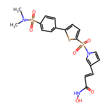 CN(C)S(=O)(=O)c1ccc(-c2ccc(S(=O)(=O)n3ccc(C=CC(=O)NO)c3)s2)cc1